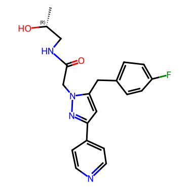 C[C@@H](O)CNC(=O)Cn1nc(-c2ccncc2)cc1Cc1ccc(F)cc1